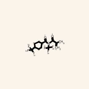 C=C(C)C(=O)N(C(=O)C1CCC(C(F)(F)F)CC1)C(F)(F)F